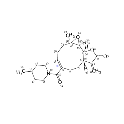 C=C1C(=O)O[C@H]2[C@H]1CC/C(C(=O)N1CCC(C)CC1)=C\CC[C@@]1(C)O[C@@H]21